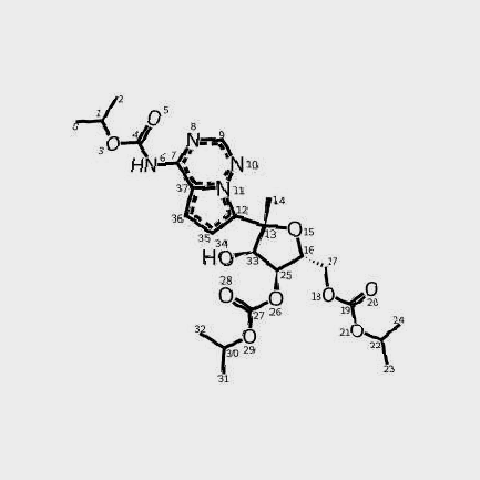 CC(C)OC(=O)Nc1ncnn2c([C@]3(C)O[C@H](COC(=O)OC(C)C)[C@@H](OC(=O)OC(C)C)[C@H]3O)ccc12